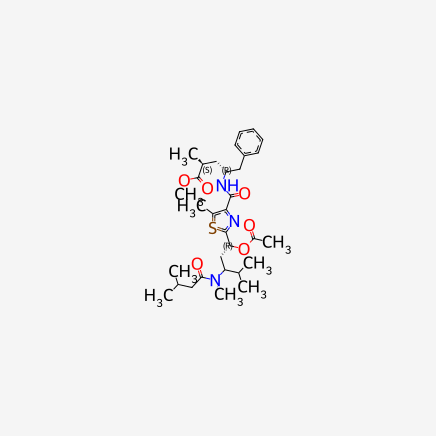 COC(=O)[C@@H](C)C[C@H](Cc1ccccc1)NC(=O)c1nc([C@@H](CC(C(C)C)N(C)C(=O)CC(C)C)OC(C)=O)sc1C